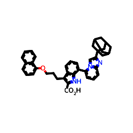 O=C(O)c1[nH]c2c(-c3cccc4nc(C56CC7CC(CC(C7)C5)C6)cn34)cccc2c1CCCOc1cccc2ccccc12